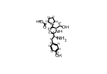 C[C@@H](O)[C@H](NC(=O)[C@@H](N)Cc1ccc(O)cc1)C(=O)N1CCC[C@H]1C(=O)O